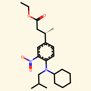 CCOC(=O)C[C@H](C)c1ccc(N(CC(C)C)C2CCCCC2)c([N+](=O)[O-])c1